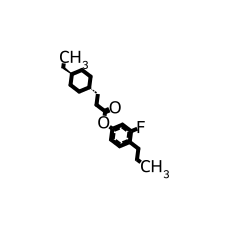 CCCc1ccc(OC(=O)CC[C@H]2CC[C@H](CC)CC2)cc1F